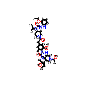 CCOc1ccccc1NC(=O)N(C(C)C)C1CCN(C(=O)Cc2ccc(NC(=O)N(Cc3ccco3)C3CCN(C(C)=O)CC3)c(OC)c2)CC1